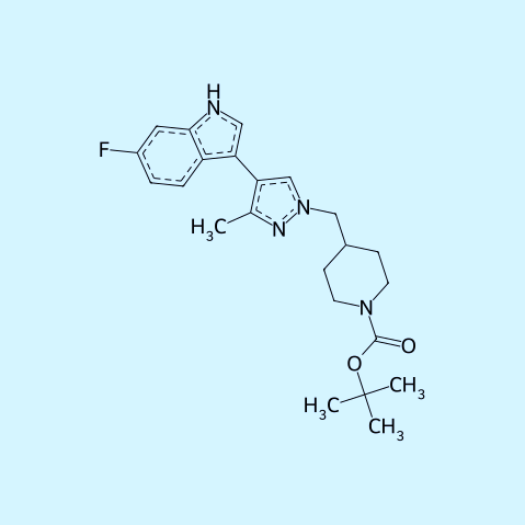 Cc1nn(CC2CCN(C(=O)OC(C)(C)C)CC2)cc1-c1c[nH]c2cc(F)ccc12